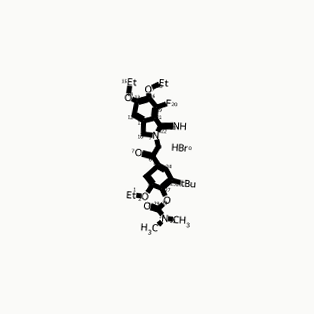 Br.CCOc1cc(C(=O)CN2Cc3cc(OCC)c(OCC)c(F)c3C2=N)cc(C(C)(C)C)c1OC(=O)N(C)C